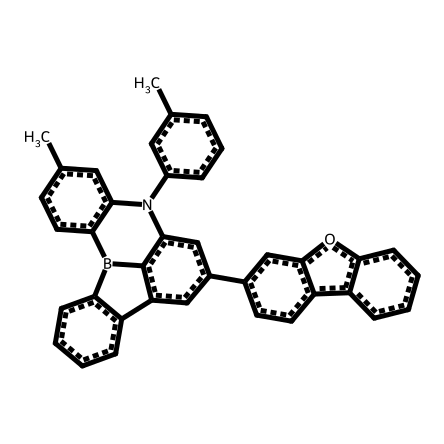 Cc1cccc(N2c3cc(C)ccc3B3c4ccccc4-c4cc(-c5ccc6c(c5)oc5ccccc56)cc2c43)c1